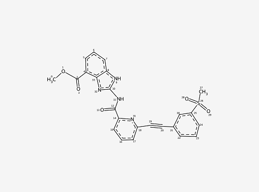 COC(=O)c1cccc2[nH]c(NC(=O)c3cccc(C#Cc4cccc(S(C)(=O)=O)c4)n3)nc12